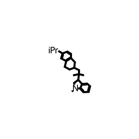 CC(C)c1ccc2c(c1)CCC(CC(C)(C)C1CN(C)c3ccccc31)C2